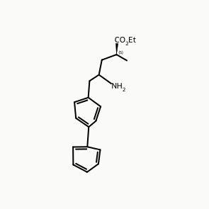 CCOC(=O)[C@@H](C)CC(N)Cc1ccc(-c2ccccc2)cc1